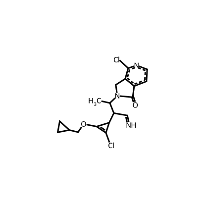 CC(C(C=N)C1C(Cl)=C1OCC1CC1)N1Cc2c(ccnc2Cl)C1=O